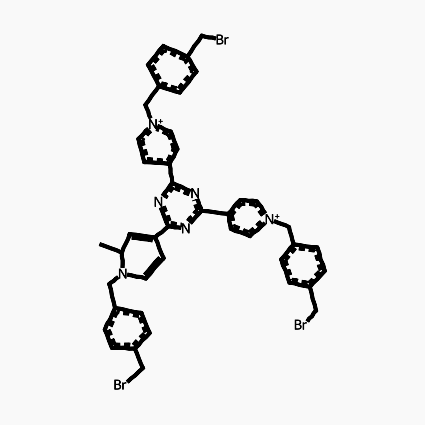 CC1C=C(c2nc(-c3cc[n+](Cc4ccc(CBr)cc4)cc3)nc(-c3cc[n+](Cc4ccc(CBr)cc4)cc3)n2)C=CN1Cc1ccc(CBr)cc1